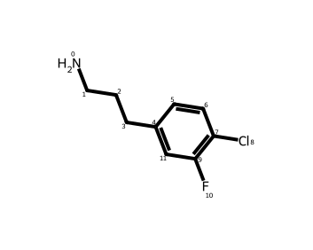 NCCCc1ccc(Cl)c(F)c1